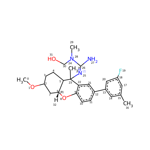 COC1CCC2[C@@H](C1)Oc1ccc(-c3cc(C)cc(F)c3)cc1C2(C)/N=C(/N)N(C)CO